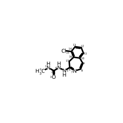 CNC(=O)NNC1=NC=Cc2cccc(Cl)c2C1